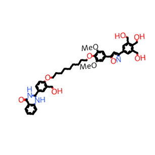 COc1cc(-c2cc(-c3cc(CO)c(CO)c(CO)c3)no2)cc(OC)c1OCCCCCCCCCOc1ccc(C2NC(=O)c3ccccc3N2)cc1CO